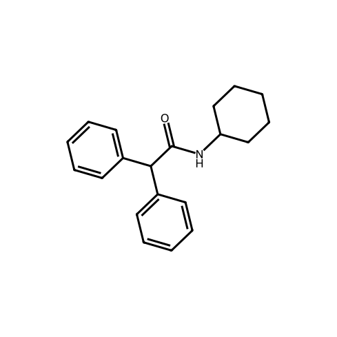 O=C(NC1CCCCC1)C(c1ccccc1)c1ccccc1